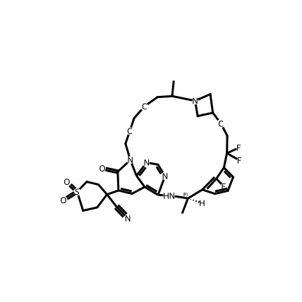 CC1CCCCCn2c(=O)c(C3(C#N)CCS(=O)(=O)CC3)cc3c(ncnc32)N[C@H](C)c2cccc(c2F)C(F)(F)CCC2CN1C2